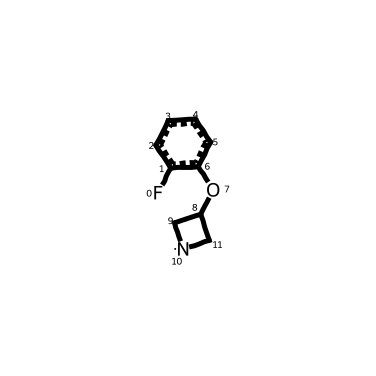 Fc1ccccc1OC1C[N]C1